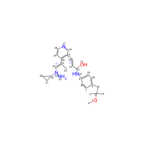 COC(C)(C)Cc1ccc(NC(O)/C=C/c2cnccc2/C(C)=C/N(N)C2CC2)cc1